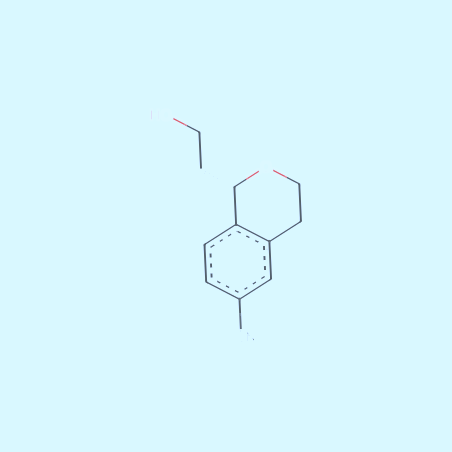 N#Cc1ccc2c(c1)CCO[C@H]2CCO